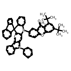 CC(C)(C)c1cc(C(C)(C)C)c2c(=O)c3cc(N4c5ccccc5C5(c6ccccc6-c6ccccc65)c5cc6c7ccccc7n(-c7ccccc7)c6cc54)ccc3oc2c1